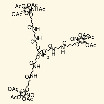 CC(=O)N[C@H]1[C@H](OCCCCC(=O)NCCCNC(=O)CCOCC(N)(COCCC(=O)NCCCNC(=O)CCCCO[C@@H]2O[C@H](COC(C)=O)[C@H](OC(C)=O)[C@H](OC(C)=O)[C@H]2N=O)COCCC(=O)NCCCNC(=O)CCCCO[C@@H]2C[C@H](COC(C)=O)[C@H](OC(C)=O)[C@H](OC(C)=O)[C@H]2N=O)O[C@H](COC(C)=O)[C@H](OC(C)=O)[C@@H]1OC(C)=O